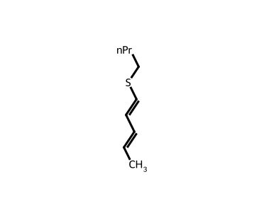 CC=CC=CSCCCC